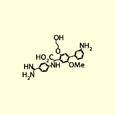 COc1cc(C(Nc2ccc(C(=N)N)cc2)C(=O)O)c(OCCO)cc1-c1cccc(N)c1